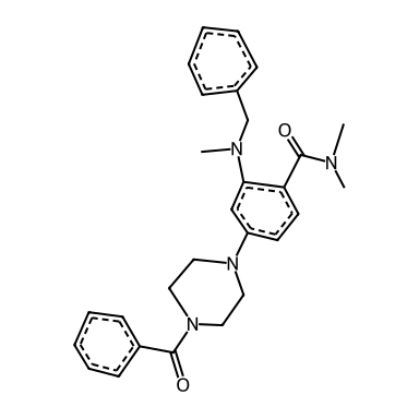 CN(C)C(=O)c1ccc(N2CCN(C(=O)c3ccccc3)CC2)cc1N(C)Cc1ccccc1